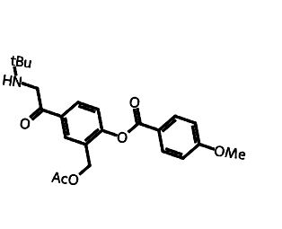 COc1ccc(C(=O)Oc2ccc(C(=O)CNC(C)(C)C)cc2COC(C)=O)cc1